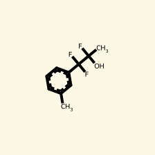 Cc1cccc(C(F)(F)C(C)(O)F)c1